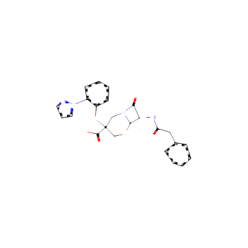 O=C(Cc1ccccc1)N[C@@H]1C(=O)N2CC(Sc3ccccc3-n3cccn3)(C(=O)O)CS[C@H]12